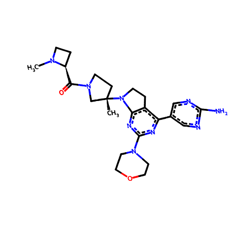 CN1CC[C@H]1C(=O)N1CC[C@](C)(N2CCc3c(-c4cnc(N)nc4)nc(N4CCOCC4)nc32)C1